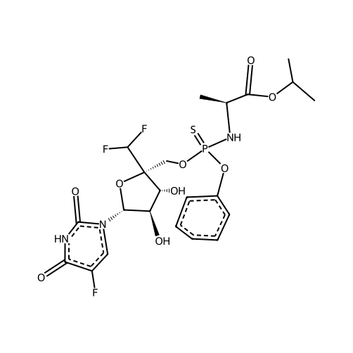 CC(C)OC(=O)[C@H](C)NP(=S)(OC[C@@]1(C(F)F)O[C@@H](n2cc(F)c(=O)[nH]c2=O)[C@H](O)[C@H]1O)Oc1ccccc1